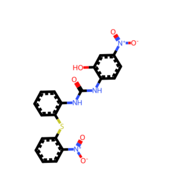 O=C(Nc1ccc([N+](=O)[O-])cc1O)Nc1ccccc1Sc1ccccc1[N+](=O)[O-]